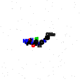 CCN(c1cc(Cl)cc(C(=O)NCc2c(C)n(C)[nH]c2=O)c1C)C1CCC(N(C)Cc2cccc(OC)c2)CC1